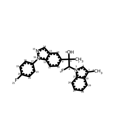 Cc1cn(C(F)C(C)(O)c2ccc3c(cnn3-c3ccc(F)cc3)c2)c2ccccc12